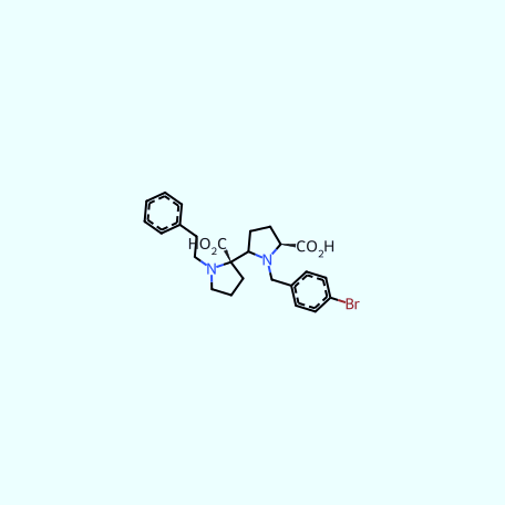 O=C(O)[C@@H]1CCC([C@]2(C(=O)O)CCCN2CCc2ccccc2)N1Cc1ccc(Br)cc1